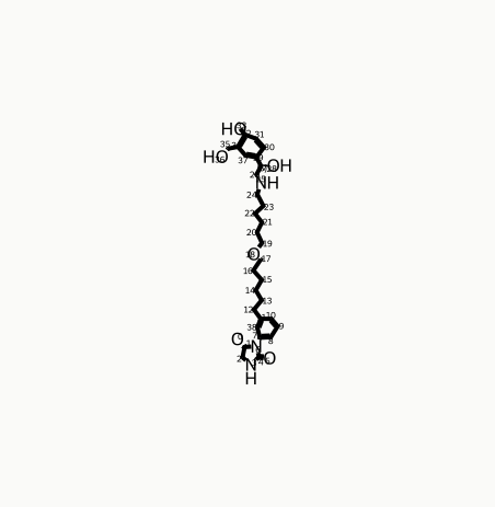 O=C1CNC(=O)N1c1cccc(CCCCCCOCCCCCCNC[C@@H](O)c2ccc(O)c(CO)c2)c1